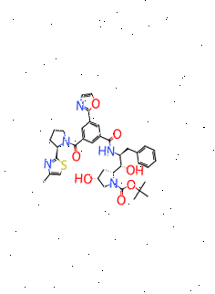 Cc1csc([C@H]2CCCN2C(=O)c2cc(C(=O)N[C@@H](Cc3ccccc3)[C@H](O)[C@H]3C[C@@H](O)CN3C(=O)OC(C)(C)C)cc(-c3ncco3)c2)n1